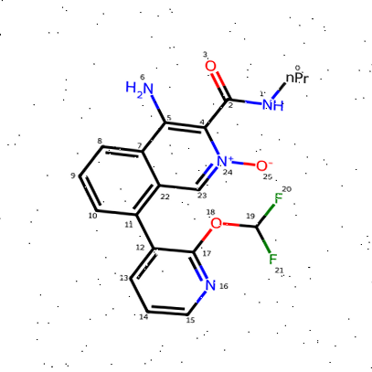 CCCNC(=O)c1c(N)c2cccc(-c3cccnc3OC(F)F)c2c[n+]1[O-]